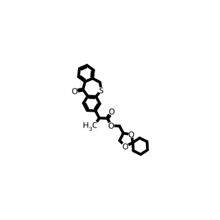 CC(C(=O)OCC1COC2(CCCCC2)O1)c1ccc2c(c1)SCc1ccccc1C2=O